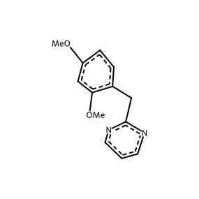 COc1ccc(Cc2ncccn2)c(OC)c1